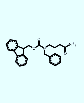 NC(=O)CCCN(Cc1ccccc1)C(=O)OCC1c2ccccc2-c2ccccc21